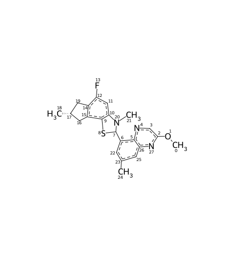 COc1cnc2c(C3Sc4c(cc(F)c5c4C[C@H](C)C5)N3C)cc(C)cc2n1